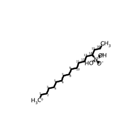 CCCCCCCCCCCCCCC(CCC)[N+]([O-])(O)O